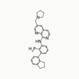 Pc1c(Nc2nccc3cc(CN4CCCC4)cnc23)cccc1-c1cccc2c1CCC2